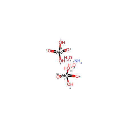 N.O.O.[O]=[Mo](=[O])([OH])[OH].[O]=[Mo](=[O])([OH])[OH]